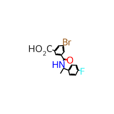 CC(NC(=O)c1cc(Br)cc(C(=O)O)c1)c1ccc(F)cc1